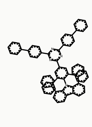 c1ccc(-c2ccc(-c3nc(-c4ccc(-c5ccccc5)cc4)nc(-c4cc(-c5ccccc5)c(-n5c6c(-c7ccccc7)cccc6c6cccc(-c7ccccc7)c65)c(-c5ccccc5)c4)n3)cc2)cc1